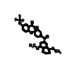 COc1cc(C(=O)N2CCC3(CC2)NC(=O)c2cc(OC(F)(F)F)ccc2O3)cc2c(SC)cccc12